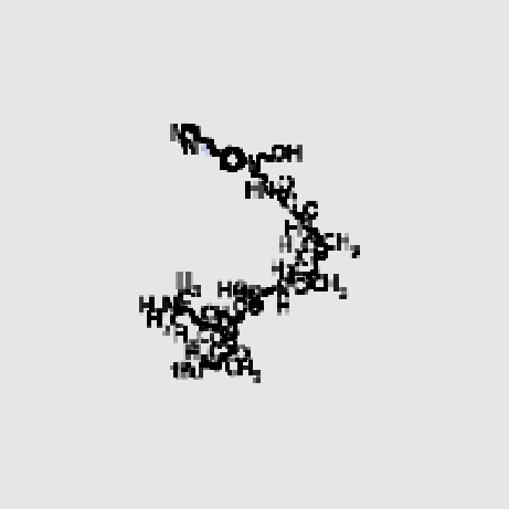 CC(C)(C)CCC(C)(C)C(=O)OCC(COP(=O)(O)OCCNC(=O)OC(C)(C)CCOC(C)(C)CNC(=O)COCC(=O)NCCN(CCO)c1ccc(/C=C/c2ccncn2)cc1)OC(=O)C(C)(C)CCC(C)(C)N